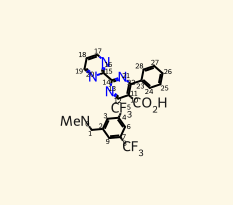 CNCc1cc(C(F)(F)F)cc(C(F)(F)F)c1.O=C(O)c1cnc(-c2ncccn2)nc1-c1ccccc1